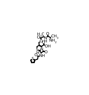 C[C@H](N)C(=O)N[C@@H](C)C(=O)OCC1=C(C(=O)O)N2C(=O)[C@@H](NC(=O)Cc3cccs3)[C@@H]2SC1